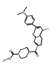 CCCOC(=O)N1CCN(C(=O)c2ccc3c(Cl)cc(-c4ccc(N(C)C)cc4)nc3c2)CC1